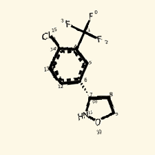 FC(F)(F)c1cc([C@@H]2CCON2)ccc1Cl